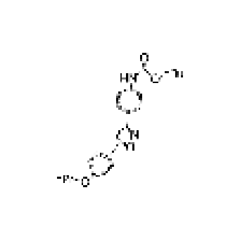 CCCOc1ccc(-c2cc(-c3ccc(NC(=O)OC(C)(C)C)cc3)no2)cc1